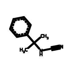 CC(C)(NC#N)c1ccccc1